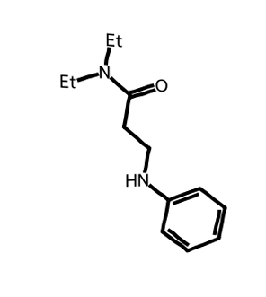 CCN(CC)C(=O)CCNc1ccccc1